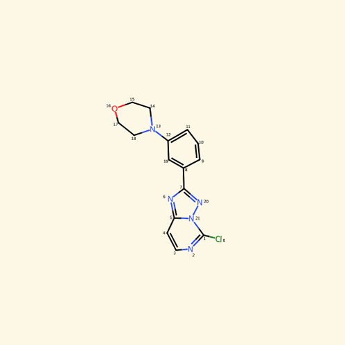 Clc1nccc2nc(-c3cccc(N4CCOCC4)c3)nn12